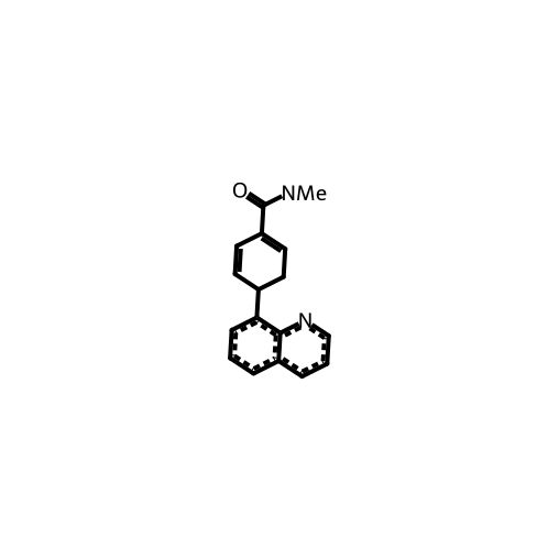 CNC(=O)C1=CCC(c2cccc3cccnc23)C=C1